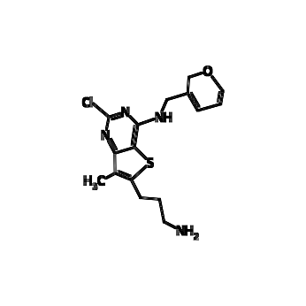 Cc1c(CCCN)sc2c(NCC3=CC=COC3)nc(Cl)nc12